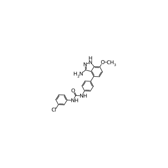 COc1ccc(-c2ccc(NC(=O)Nc3cccc(Cl)c3)cc2)c2c(N)n[nH]c12